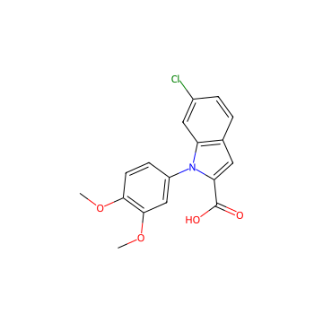 COc1ccc(-n2c(C(=O)O)cc3ccc(Cl)cc32)cc1OC